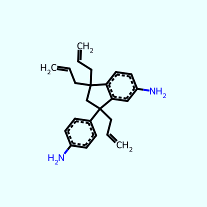 C=CCC1(CC=C)CC(CC=C)(c2ccc(N)cc2)c2cc(N)ccc21